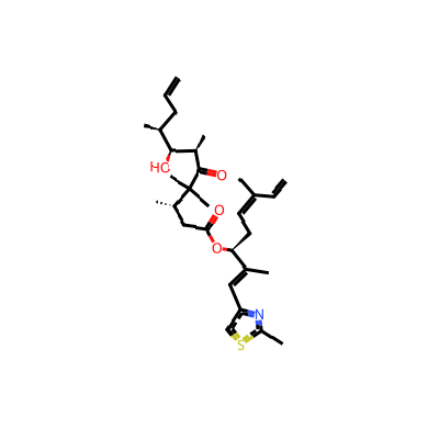 C=CC[C@H](C)[C@H](O)[C@@H](C)C(=O)C(C)(C)[C@@H](C)CC(=O)O[C@@H](C/C=C(/C)C=C)/C(C)=C/c1csc(C)n1